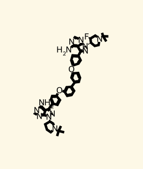 CC(C)(C)N1CCC[C@@H](n2nc(-c3ccc(Oc4cccc(-c5cccc(Oc6ccc(-c7nn([C@H]8CCN(C(C)(C)C)C[C@@H]8F)c8ncnc(N)c78)cc6)c5)c4)cc3)c3c(N)ncnc32)C1